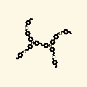 C=Cc1ccc(COCCc2ccc(N(c3ccc(CCc4ccc(N(c5ccc(CCOCc6ccc(C=C)cc6)cc5)c5ccc(-c6ccc(COCc7ccc(C=C)cc7)cc6)cc5)cc4)cc3)c3ccc(-c4ccc(COCc5ccc(C=C)cc5)cc4)cc3)cc2)cc1